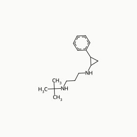 CC(C)(C)NCCCNC1CC1c1ccccc1